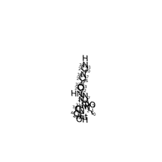 C=CCn1c(=O)c2cnc(Nc3ccc(C4CCN(C5CCNCC5)CC4)cc3)nc2n1-c1ccc2c(n1)[C@](O)(CC)CC2